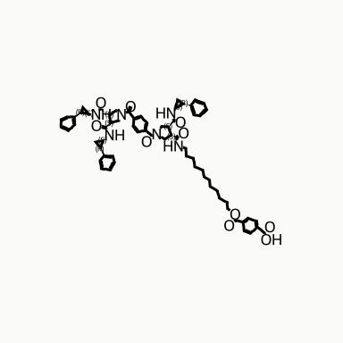 O=C(O)c1ccc(C(=O)OCCCCCCCCCCCCNC(=O)[C@@H]2CN(C(=O)c3ccc(C(=O)N4C[C@@H](C(=O)N[C@H]5C[C@@H]5c5ccccc5)[C@H](C(=O)N[C@H]5C[C@@H]5c5ccccc5)C4)cc3)C[C@H]2C(=O)N[C@H]2C[C@@H]2c2ccccc2)cc1